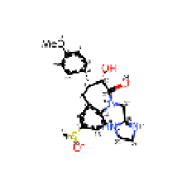 COc1ccc([C@H]2Cc3cc([S+](C)[O-])ccc3N(CC3=NCCN3)C(=O)[C@H]2O)cc1